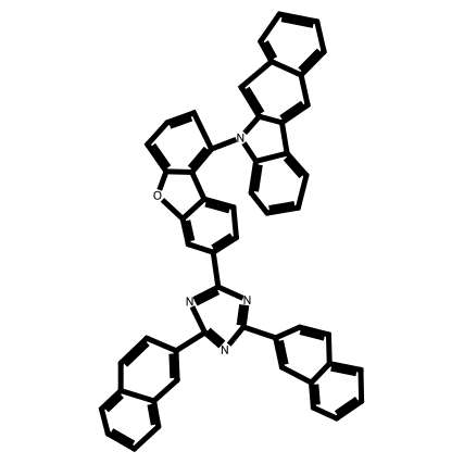 c1ccc2cc(-c3nc(-c4ccc5ccccc5c4)nc(-c4ccc5c(c4)oc4cccc(-n6c7ccccc7c7cc8ccccc8cc76)c45)n3)ccc2c1